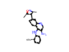 Cc1noc(C)c1-c1ccc2c(Nc3ccccc3C(C)(C)C)c(N)cnc2c1